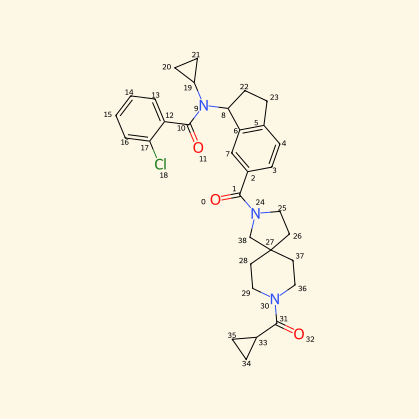 O=C(c1ccc2c(c1)C(N(C(=O)c1ccccc1Cl)C1CC1)CC2)N1CCC2(CCN(C(=O)C3CC3)CC2)C1